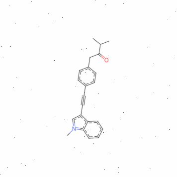 CC(C)C(=O)Cc1ccc(C#Cc2cn(C)c3ccccc23)cc1